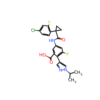 CC(C)n1cc(-c2c(F)cc(NC(=O)C3(c4ccc(Cl)cc4F)CC3)cc2C(=O)O)cn1